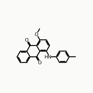 COc1ccc(Nc2ccc(C)cc2)c2c1C(=O)c1ccccc1C2=O